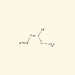 CCCCCNC(CC)OS(=O)(=O)O